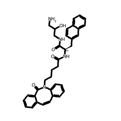 NCC(O)CNC(=O)[C@@H](Cc1ccc2ccccc2c1)NC(=O)CCCCN1C(=O)c2ccccc2C=Cc2ccccc21